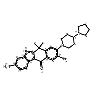 CC1(C)c2cc(N3CCC(N4CCCC4)CC3)c(Br)cc2C(=O)c2c1[nH]c1cc(N)ccc21